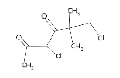 CC(=O)C(Cl)C(=O)C(C)(C)CCl